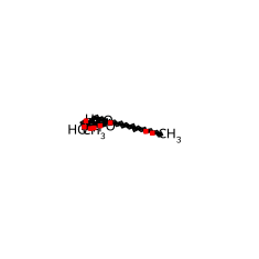 CCCCCCCCCCCCCCCCCC(=O)Oc1ccc2c(c1)CC[C@@H]1[C@@H]2CC[C@]2(C)[C@@H](O)CC[C@@H]12